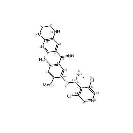 COc1cc(N)c(C(=N)c2cnc3c(c2)NCCO3)cc1O[C@H](N)c1c(Cl)cncc1Cl